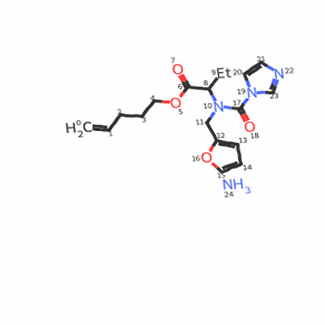 C=CCCCOC(=O)C(CC)N(Cc1ccco1)C(=O)n1ccnc1.N